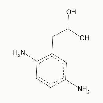 Nc1ccc(N)c(CC(O)O)c1